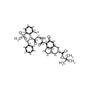 CC(C)(C)OC(=O)N1Cc2cc(Cl)c(C(=O)N[C@@H](Cc3cccc(S(C)(=O)=O)c3)C(=O)OCc3ccccc3)c3c2N(CC3)C1